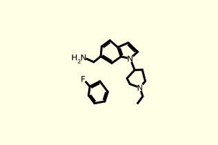 CCN1CCC(n2ccc3ccc(CN)cc32)CC1.Fc1ccccc1